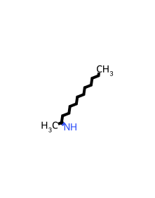 CCCCCCCCCCCC(C)=N